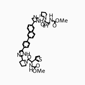 COC(=O)NC(C(=O)N1CCCC1c1ncc(-c2ccc(-c3ccc4cc(C5CN=C([C@@H]6CCCN6C(=O)[C@@H](NC(=O)OC)C(C)C)N5)ccc4c3)cc2)[nH]1)c1ccsc1